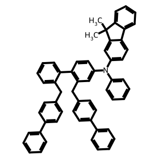 CC1(C)c2ccccc2-c2ccc(N(c3ccccc3)c3ccc(-c4ccccc4Cc4ccc(-c5ccccc5)cc4)c(Cc4ccc(-c5ccccc5)cc4)c3)cc21